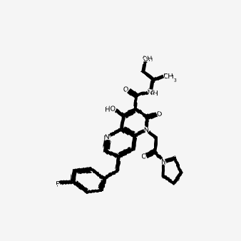 CC(CO)NC(=O)c1c(O)c2ncc(Cc3ccc(F)cc3)cc2n(CC(=O)N2CCCC2)c1=O